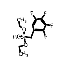 CCO[Si](O)(Cc1cc(F)c(F)c(F)c1F)OCC